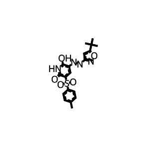 Cc1ccc(S(=O)(=O)c2cc(N=Nc3cc(C(C)(C)C)on3)c(O)[nH]c2=O)cc1